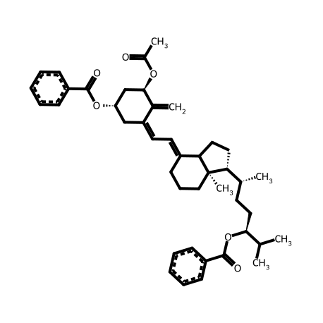 C=C1/C(=C\C=C2CCC[C@@]3(C)C2CC[C@@H]3[C@H](C)CC[C@H](OC(=O)c2ccccc2)C(C)C)C[C@H](OC(=O)c2ccccc2)C[C@H]1OC(C)=O